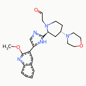 COc1nc2ccccc2cc1-c1cnc([C@@H]2C[C@@H](N3CCOCC3)CCN2CC=O)[nH]1